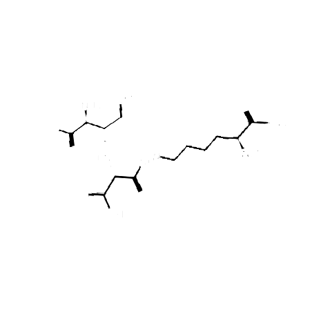 CC(C)[C@H](N)C(=O)O.CC[C@H](C)[C@H](N)C(=O)O.NCCCC[C@H](N)C(=O)O